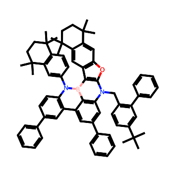 CC(C)(C)c1ccc(CN2c3cc(-c4ccccc4)cc4c3B(c3c2oc2cc5c(cc32)C(C)(C)CCC5(C)C)N(c2ccc3c(c2)C(C)(C)CCC3(C)C)c2ccc(-c3ccccc3)cc2-4)c(-c2ccccc2)c1